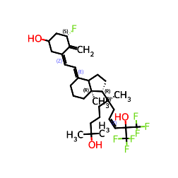 C=C1/C(=C\C=C2/CCC[C@@]3(C)C2CC[C@@H]3[C@@](C)(C/C=C\C(O)(C(F)(F)F)C(F)(F)F)CCCC(C)(C)O)CC(O)C[C@@H]1F